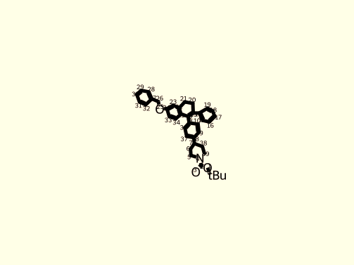 CC(C)(C)OC(=O)N1CCC(c2ccc(C3=C(c4ccccc4)CCc4cc(OCc5ccccc5)ccc43)cc2)CC1